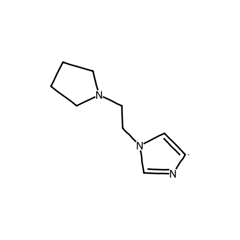 [c]1cn(CCN2CCCC2)cn1